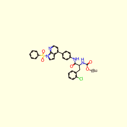 CC(C)(C)OC(=O)NC(Cc1ccccc1Cl)C(=O)Nc1ccc(-c2ccnc3c2ccn3S(=O)(=O)c2ccccc2)cc1